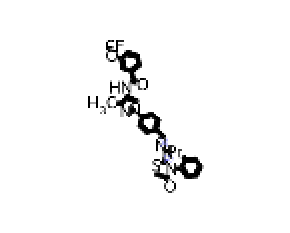 Cc1nn(-c2ccc(/C=N/N=C3\SCC(=O)N3c3ccccc3C(C)C)cc2)cc1NC(=O)c1cccc(OC(F)(F)F)c1